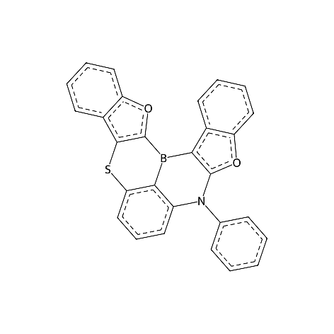 c1ccc(N2c3cccc4c3B(c3oc5ccccc5c3S4)c3c2oc2ccccc32)cc1